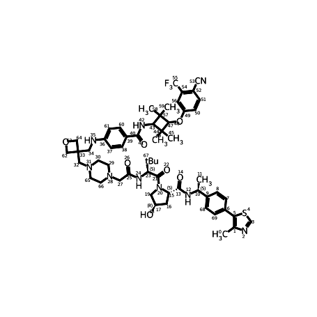 Cc1ncsc1-c1ccc([C@H](C)NC(=O)[C@@H]2C[C@@H](O)CN2C(=O)[C@@H](NC(=O)CN2CCN(CC3(CNc4ccc(C(=O)NC5C(C)(C)C(Oc6ccc(C#N)c(C(F)(F)F)c6)C5(C)C)cc4)COC3)CC2)C(C)(C)C)cc1